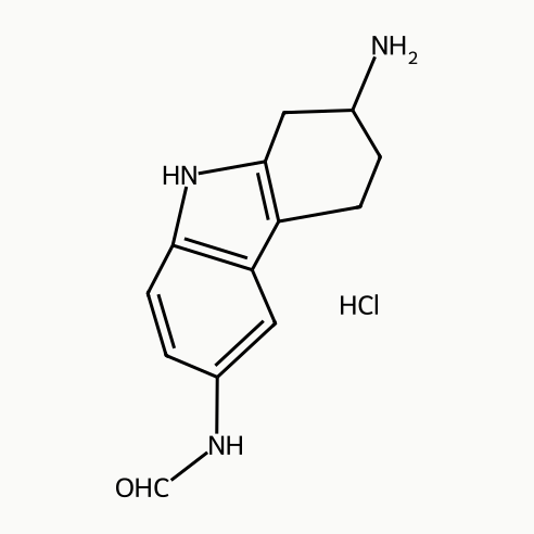 Cl.NC1CCc2c([nH]c3ccc(NC=O)cc23)C1